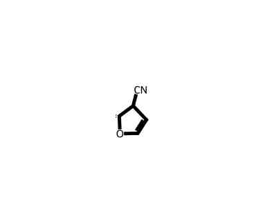 N#CC1[C]OC=C1